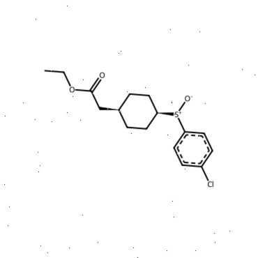 CCOC(=O)C[C@H]1CC[C@@H]([S+]([O-])c2ccc(Cl)cc2)CC1